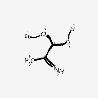 CCOC(OCC)C(C)=N